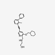 Cc1c(C#Cc2cnc(CNCCO)c(OCC3CCCCC3)c2)cccc1-c1ccccc1